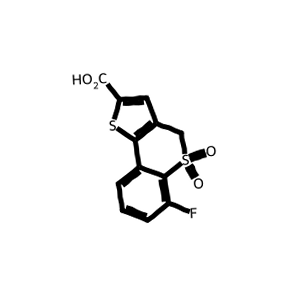 O=C(O)c1cc2c(s1)-c1cccc(F)c1S(=O)(=O)C2